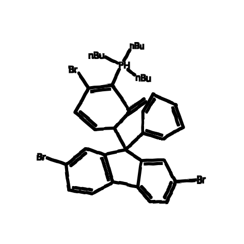 C=C1C([PH](CCCC)(CCCC)CCCC)=C(Br)C=CC1C1(c2ccccc2)c2cc(Br)ccc2-c2ccc(Br)cc21